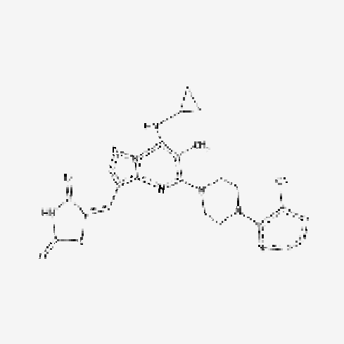 Cc1c(N2CCN(c3ncccc3C#N)CC2)nc2c(C=C3SC(=O)NC3=O)cnn2c1NC1CC1